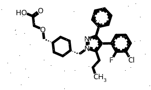 CCCc1c(-c2cccc(Cl)c2F)c(-c2ccccc2)nn1C[C@H]1CC[C@@H](COCC(=O)O)CC1